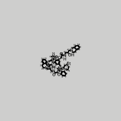 CCN1CCN(c2cccc(OCC(=O)NC[C@@H](O)CN3CCc4ccccc4C3)c2S(=O)(=O)N(C)Cc2cc(OCC(=O)NC[C@@H](O)CN3CCc4ccccc4C3)c(S(=O)(=O)N(C)C)c(N3CCNC(C)C3)c2)CC1